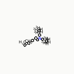 [2H]c1c([2H])c([2H])c(-c2ccc(N(c3ccc(-c4c([2H])c([2H])c([2H])c([2H])c4[2H])cc3)c3cccc4c(-c5ccc(-c6ccc7c(c6)C(C)(C)c6ccccc6-7)cc5)cccc34)cc2)c([2H])c1[2H]